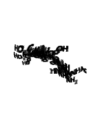 CCC(C)[C@H](NC(=O)[C@H](Cc1ccccc1)NC(=O)[C@H](C)NC(=O)[C@H](Cc1ccc(O)cc1)NC(=O)CNC(=O)[C@H](CCCNC(=N)N)NC(=O)[C@@H]1CCCN1C(=O)[C@H](CCCCN)NC(=O)CNC(C)=O)C(=O)N[C@@H](CCC(=O)O)C(=O)N[C@@H](Cc1ccc(O)cc1)C(=O)O